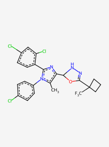 Cc1c(C2NN=C(C3(C(F)(F)F)CCC3)O2)nc(-c2ccc(Cl)cc2Cl)n1-c1ccc(Cl)cc1